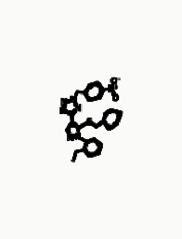 CCc1ccccc1-n1ncc(-c2nnn(Cc3ccc([N+](=O)[O-])cc3)n2)c1SCc1ccccc1